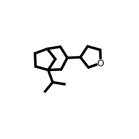 CC(C)C12CCC(CC(C3CCOC3)C1)C2